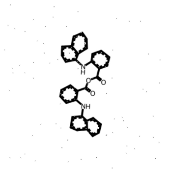 O=C(OC(=O)c1ccccc1Nc1cccc2ccccc12)c1ccccc1Nc1cccc2ccccc12